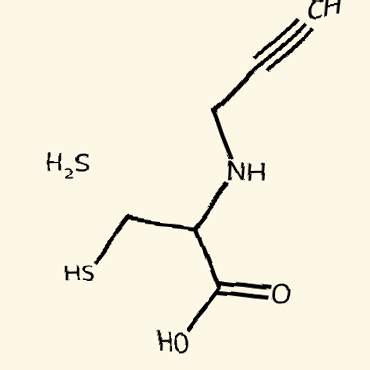 C#CCNC(CS)C(=O)O.S